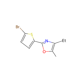 CCc1nc(-c2ccc(Br)s2)oc1C